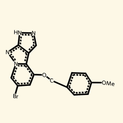 COc1ccc(COc2cc(Br)cn3nc4[nH]ncc4c23)cc1